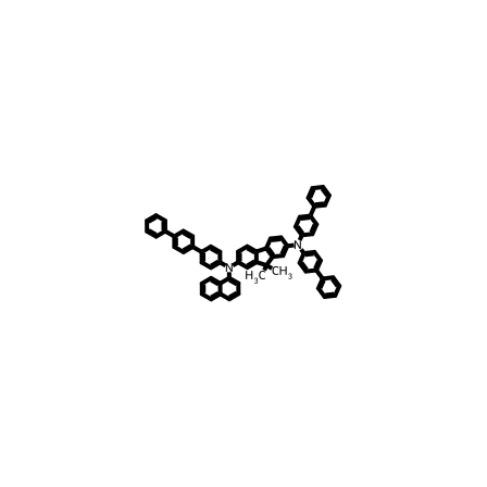 CC1(C)c2cc(N(c3ccc(-c4ccccc4)cc3)c3ccc(-c4ccccc4)cc3)ccc2-c2ccc(N(c3ccc(-c4ccc(-c5ccccc5)cc4)cc3)c3cccc4ccccc34)cc21